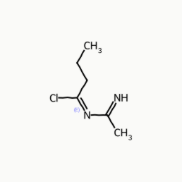 CCC/C(Cl)=N\C(C)=N